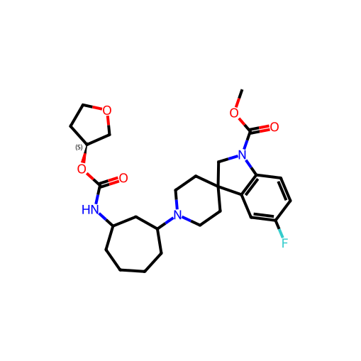 COC(=O)N1CC2(CCN(C3CCCCC(NC(=O)O[C@H]4CCOC4)C3)CC2)c2cc(F)ccc21